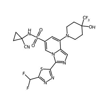 N#CC1(NS(=O)(=O)c2cc(N3CCC(O)(C(F)(F)F)CC3)c3cnc(-c4nnc(C(F)F)s4)n3c2)CC1